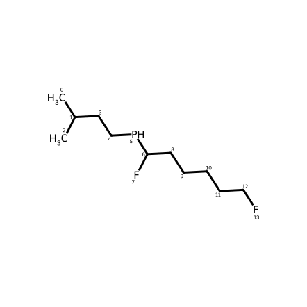 CC(C)CCPC(F)CCCCCF